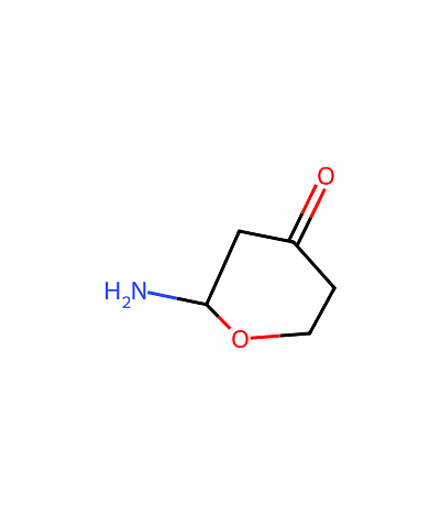 NC1CC(=O)CCO1